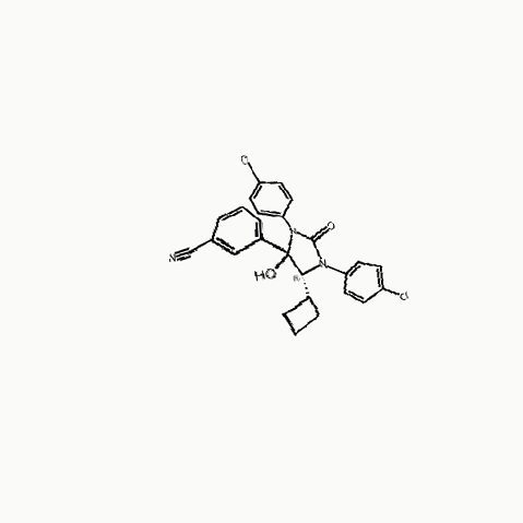 N#Cc1cccc(C2(O)[C@@H](C3CCC3)N(c3ccc(Cl)cc3)C(=O)N2c2ccc(Cl)cc2)c1